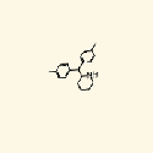 Cc1ccc(C(c2ccc(C)cc2)[C@@H]2CCCCN2)cc1